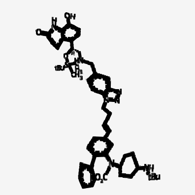 CC(C)(C)NC1CCC(N(C(=O)O)c2cc(C=CCCn3nnc4cc(CNC[C@H](O[Si](C)(C)C(C)(C)C)c5ccc(O)c6[nH]c(=O)ccc56)ccc43)ccc2-c2ccccc2)CC1